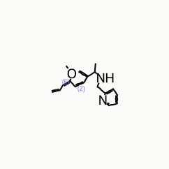 C=C/C=C(\C=C/C(=C)C(C)NCc1ccccn1)OC